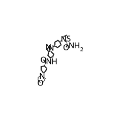 NC(=O)C1SC=CN1c1ccc(-n2ncc3cc(NC(=O)c4ccc(N5CCOCC5)cc4)ccc32)cc1